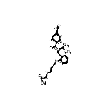 CC(C)N(Cc1ccccc1OCCCCCC(=O)O)C(=O)c1ccc(C#N)cc1